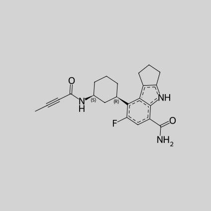 CC#CC(=O)N[C@H]1CCC[C@@H](c2c(F)cc(C(N)=O)c3[nH]c4c(c23)CCC4)C1